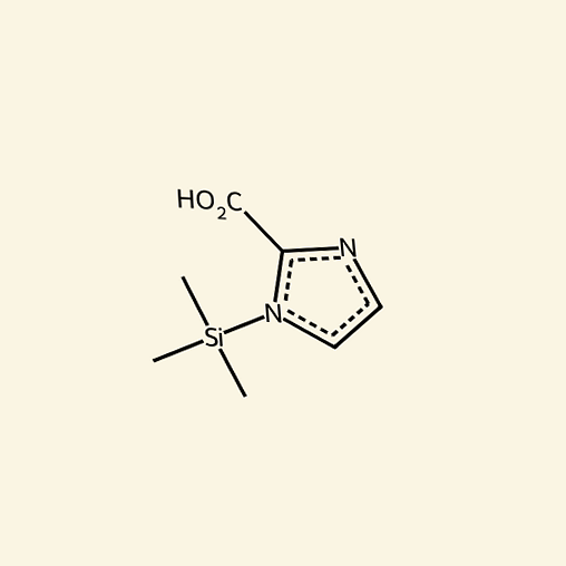 C[Si](C)(C)n1ccnc1C(=O)O